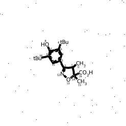 CC1C(c2cc(C(C)(C)C)c(O)c(C(C)(C)C)c2)=NOC1(C)C(=O)O